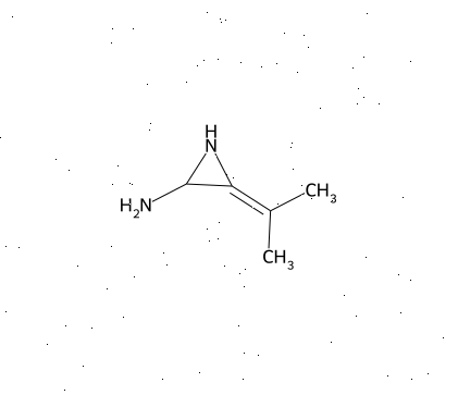 CC(C)=C1NC1N